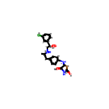 CC(Cc1ccc(NC2SC(=O)NC2=O)cc1)NC[C@@H](O)c1cccc(Cl)c1